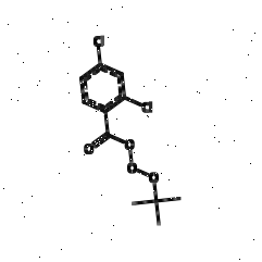 CC(C)(C)OOOC(=O)c1ccc(Cl)cc1Cl